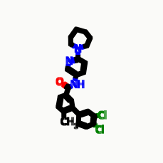 Cc1ccc(C(=O)Nc2ccc(N3CCCCCC3)nc2)cc1-c1ccc(Cl)c(Cl)c1